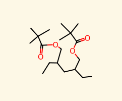 CCC(COC(=O)C(C)(C)C)CC(CC)COC(=O)C(C)(C)C